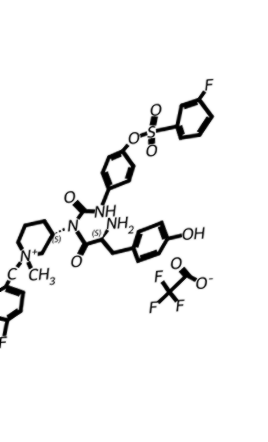 C[N+]1(Cc2ccc(F)cc2)CCC[C@H](N(C(=O)Nc2ccc(OS(=O)(=O)c3cccc(F)c3)cc2)C(=O)[C@@H](N)Cc2ccc(O)cc2)C1.O=C([O-])C(F)(F)F